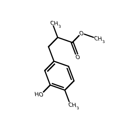 COC(=O)C(C)Cc1ccc(C)c(O)c1